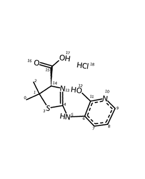 CC1(C)SC(Nc2cccnc2O)=N[C@@H]1C(=O)O.Cl